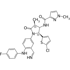 C[C@@H]1C(=O)N(c2ccc(Nc3ccc(F)cc3)c(C=N)c2)[C@H](c2ccc(Cl)s2)C1NC(=O)c1ccn(C)n1